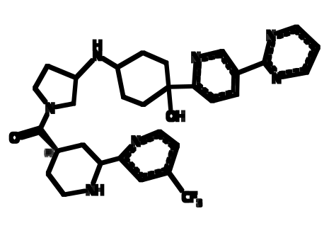 O=C([C@@H]1CCNC(c2cc(C(F)(F)F)ccn2)C1)N1CCC(NC2CCC(O)(c3ccc(-c4ncccn4)cn3)CC2)C1